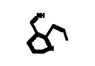 C/C=C\c1ncccc1C=N